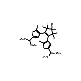 COC(OC)c1cc(C2=C(c3cc(C(OC)OC)sc3C)C(F)(F)C(F)(F)C2(F)F)c(C)s1